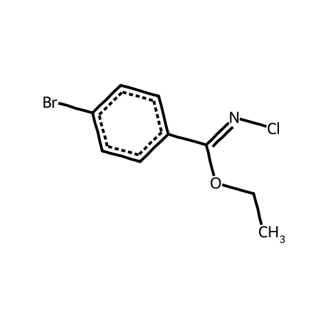 CCO/C(=N\Cl)c1ccc(Br)cc1